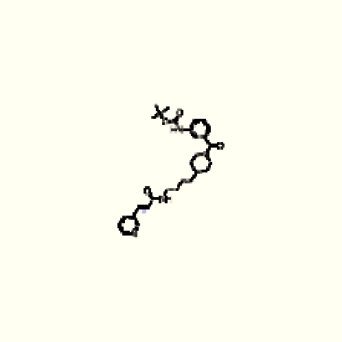 CC(C)(C)OC(=O)Nc1cccc(C(=O)N2CCC(CCCCNC(=O)/C=C/c3cccnc3)CC2)c1